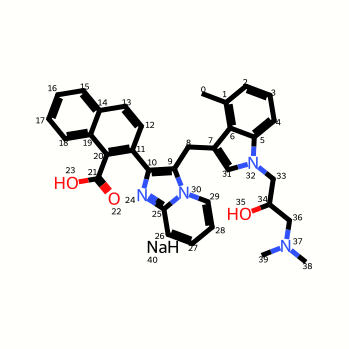 Cc1cccc2c1c(Cc1c(-c3ccc4ccccc4c3C(=O)O)nc3ccccn13)cn2CC(O)CN(C)C.[NaH]